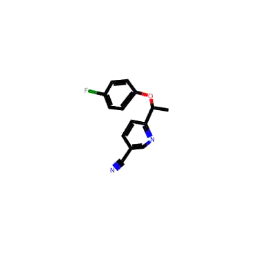 CC(Oc1ccc(F)cc1)c1ccc(C#N)cn1